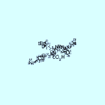 Cc1cc(N(CCCCC(=O)[Si](C)(C)C(C)(C)C)c2nc(C(=O)O)c(CCCOc3ccc(C#CCN(C)C)cc3F)s2)nnc1/N=c1\sc2ccccc2n1COCC[Si](C)(C)C